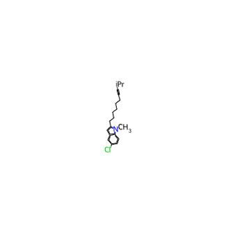 CC(C)C#CCCCCCCc1cc2cc(Cl)ccc2n1C